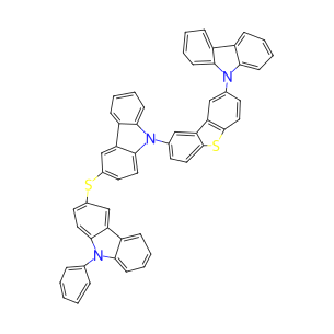 c1ccc(-n2c3ccccc3c3cc(Sc4ccc5c(c4)c4ccccc4n5-c4ccc5sc6ccc(-n7c8ccccc8c8ccccc87)cc6c5c4)ccc32)cc1